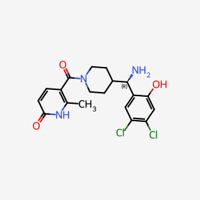 Cc1[nH]c(=O)ccc1C(=O)N1CCC([C@@H](N)c2cc(Cl)c(Cl)cc2O)CC1